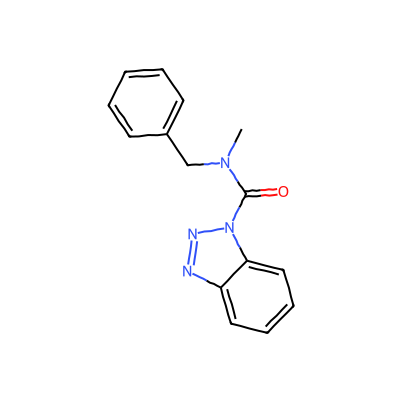 CN(Cc1ccccc1)C(=O)n1nnc2ccccc21